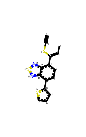 C#CS/C(=C\C)c1ccc(-c2cccs2)c2nsnc12